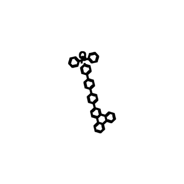 O=P(c1ccccc1)(c1ccccc1)c1ccc(-c2ccc(-c3ccc(-c4ccc5c6ccccc6c6ccccc6c5c4)cc3)cc2)cc1